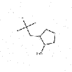 OC1CCCN1CC(F)(F)F